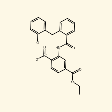 CCOC(=O)c1ccc([N+](=O)[O-])c(NC(=O)c2ccccc2Cc2ccccc2Cl)c1